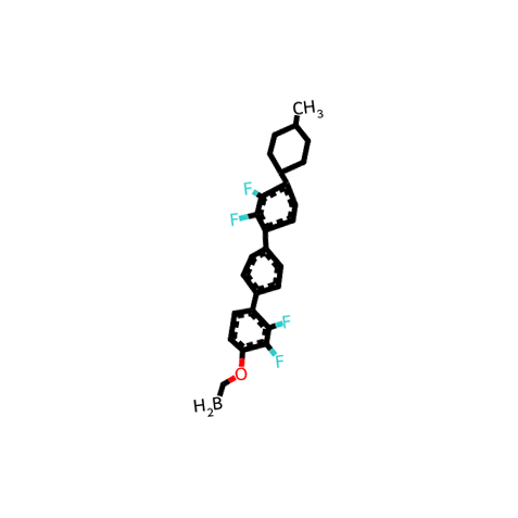 BCOc1ccc(-c2ccc(-c3ccc(C4CCC(C)CC4)c(F)c3F)cc2)c(F)c1F